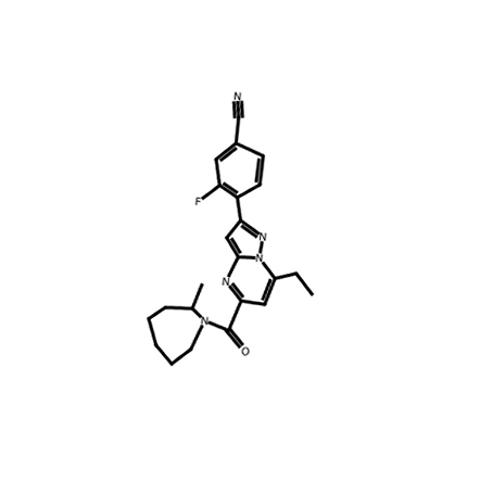 CCc1cc(C(=O)N2CCCCCC2C)nc2cc(-c3ccc(C#N)cc3F)nn12